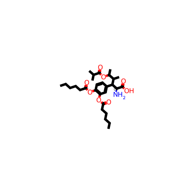 CCCCCC(=O)Oc1ccc(C(C(C)C(C)OC(=O)C(C)C)[C@H](N)C(=O)O)cc1OC(=O)CCCCC